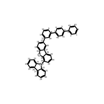 c1ccc(-c2ccc(-c3cccc(-c4ccc5oc6c(-n7c8ccccc8c8ccccc87)cccc6c5c4)c3)cc2)cc1